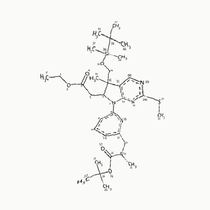 CCOC(=O)CC1N(c2cccc(CN(C)C(=O)OC(C)(C)C)n2)c2nc(SC)ncc2C1(C)CO[Si](C)(C)C(C)(C)C